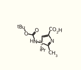 CC1=NC(C(=O)O)=C[S@@]1(NC(=O)OC(C)(C)C)C(C)C